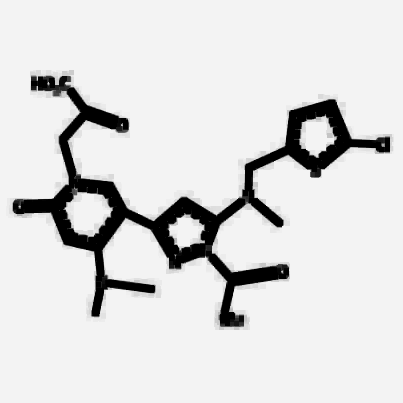 CN(C)c1cc(=O)n(CC(=O)C(=O)O)cc1-c1cc(N(C)Cc2ccc(Cl)s2)n(C(=O)C(C)(C)C)n1